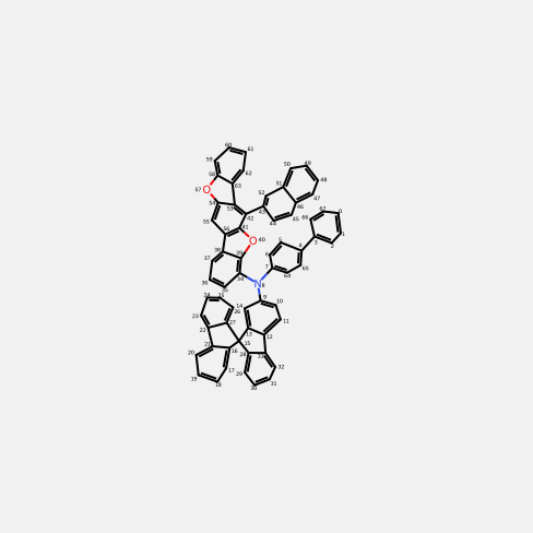 c1ccc(-c2ccc(N(c3ccc4c(c3)C3(c5ccccc5-c5ccccc53)c3ccccc3-4)c3cccc4c3oc3c(-c5ccc6ccccc6c5)c5c(cc34)oc3ccccc35)cc2)cc1